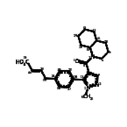 Cn1ncc(C(=O)N2CCCC3CCCCC32)c1-c1ccc(C/C=C/C(=O)O)cc1